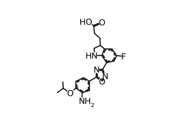 CC(C)Oc1ccc(-c2nc(-c3cc(F)cc4c3NCC4CCC(=O)O)no2)cc1N